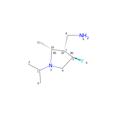 CC(C)N1C[C@H](F)[C@@H](CN)[C@H]1C